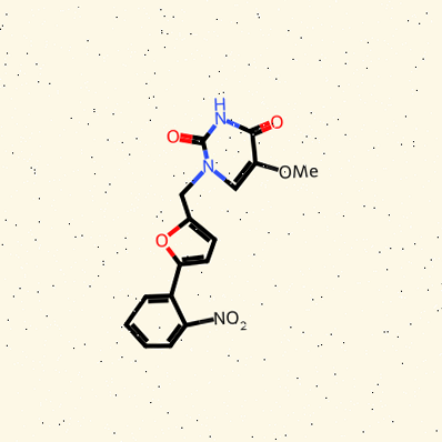 COc1cn(Cc2ccc(-c3ccccc3[N+](=O)[O-])o2)c(=O)[nH]c1=O